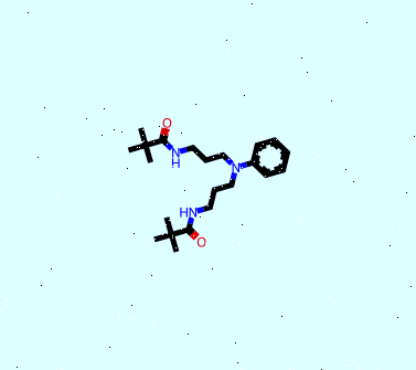 CC(C)(C)C(=O)NCCCN(CCCNC(=O)C(C)(C)C)c1ccccc1